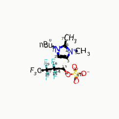 CCCCn1cc[n+](C)c1C.O=S(=O)([O-])OCC(F)(F)C(F)(F)C(F)(F)F